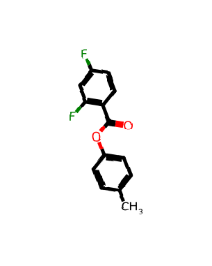 Cc1ccc(OC(=O)c2ccc(F)cc2F)cc1